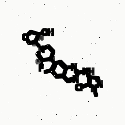 Cc1cc2cnc(Nc3cnn(C)c3Cl)nc2cc1[C@@H]1CCN([C@H]2COC[C@H]2O)C[C@H]1F